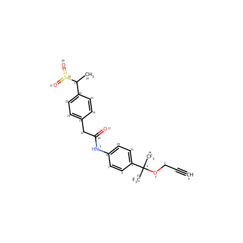 C#CCOC(c1ccc(NC(=O)Cc2ccc(C(C)[SH](=O)=O)cc2)cc1)(C(F)(F)F)C(F)(F)F